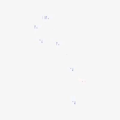 N#CCC(=O)N1CCC23CCN(c4ncnc5[nH]ccc45)C2CCC13